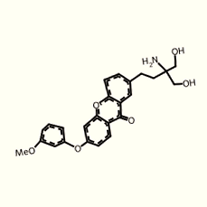 COc1cccc(Oc2ccc3c(=O)c4cc(CCC(N)(CO)CO)ccc4oc3c2)c1